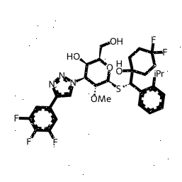 CO[C@@H]1[C@@H](n2cc(-c3cc(F)c(F)c(F)c3)nn2)[C@@H](O)[C@@H](CO)O[C@H]1S[C@@H](c1ccccc1C(C)C)C1(O)CCC(F)(F)CC1